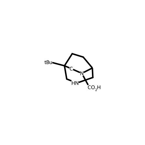 CC(C)(C)C12CCC(CNC1)N(C(=O)O)C2